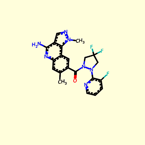 Cc1cc2nc(N)c3cnn(C)c3c2cc1C(=O)N1CC(F)(F)CN1c1ncccc1F